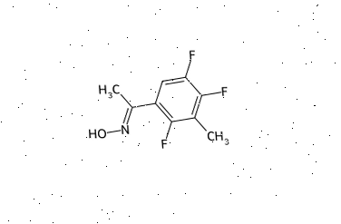 CC(=NO)c1cc(F)c(F)c(C)c1F